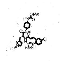 COC(=O)Nc1ccc(NC(=O)[C@H](Cc2ccn(C)n2)NC(=O)/C=C/c2cc(Cl)ccc2N2C=NNN2)cc1